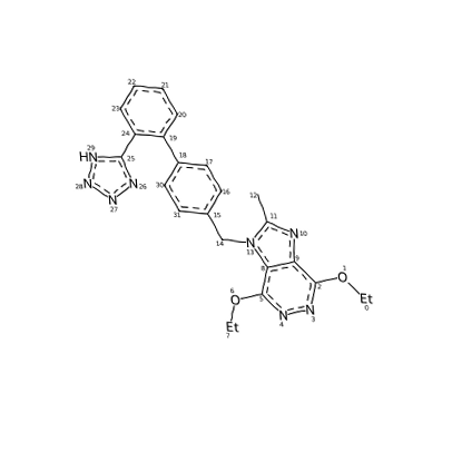 CCOc1nnc(OCC)c2c1nc(C)n2Cc1ccc(-c2ccccc2-c2nnn[nH]2)cc1